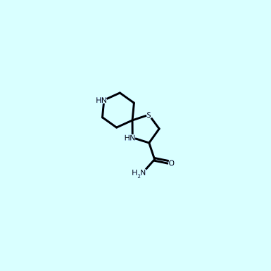 NC(=O)C1CSC2(CCNCC2)N1